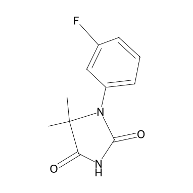 CC1(C)C(=O)NC(=O)N1c1cccc(F)c1